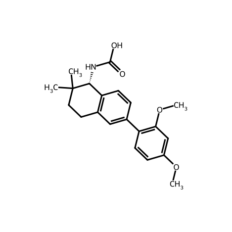 COc1ccc(-c2ccc3c(c2)CCC(C)(C)[C@@H]3NC(=O)O)c(OC)c1